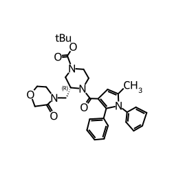 Cc1cc(C(=O)N2CCN(C(=O)OC(C)(C)C)C[C@H]2CN2CCOCC2=O)c(-c2ccccc2)n1-c1ccccc1